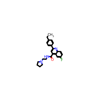 CCc1ccc(-c2cc(C(=O)NCCN3CCCC3)c3cc(F)ccc3n2)cc1